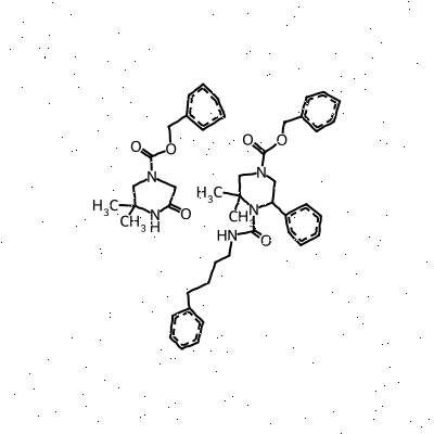 CC1(C)CN(C(=O)OCc2ccccc2)CC(=O)N1.CC1(C)CN(C(=O)OCc2ccccc2)CC(c2ccccc2)N1C(=O)NCCCCc1ccccc1